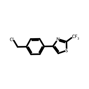 FC(F)(F)c1nc(-c2ccc(CCl)cc2)cs1